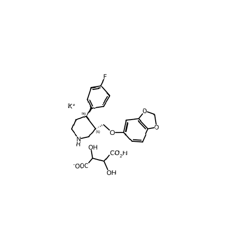 Fc1ccc([C@@H]2CCNC[C@H]2COc2ccc3c(c2)OCO3)cc1.O=C([O-])C(O)C(O)C(=O)O.[K+]